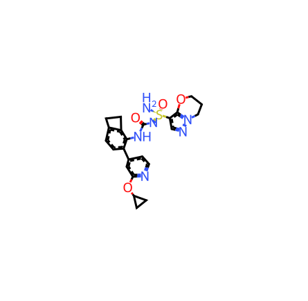 N[S@](=O)(=NC(=O)Nc1c(-c2ccnc(OC3CC3)c2)ccc2c1CC2)c1cnn2c1OCCC2